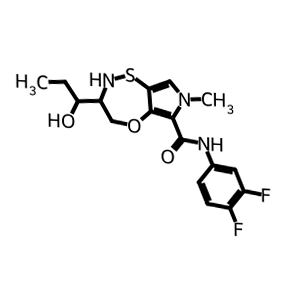 CCC(O)C1COc2c(cn(C)c2C(=O)Nc2ccc(F)c(F)c2)SN1